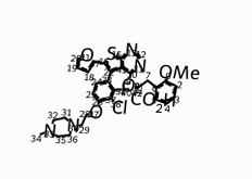 COc1ccccc1C[C@@H](Oc1ncnc2sc(-c3ccco3)c(-c3ccc(OCCN4CCN(C)CC4)c(Cl)c3F)c12)C(=O)O